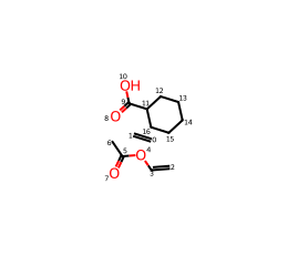 C=C.C=COC(C)=O.O=C(O)C1CCCCC1